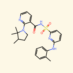 Cc1ccccc1Nc1cccc(S(=O)(=O)NC(=O)c2cccnc2N2CCC(C)C2(C)C)n1